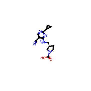 N#Cc1cnc(C2CC2)nc1NC[C@H]1CCN(C(=O)O)C1